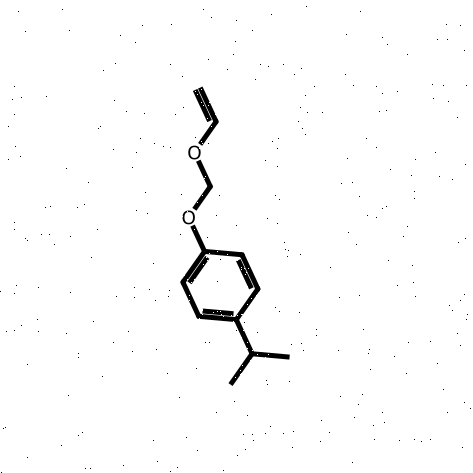 C=COCOc1ccc(C(C)C)cc1